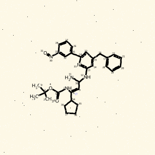 CC(C)(C)OC(=O)N/C(=C\C(N)Nc1cc(Cc2ccccc2)cc(-c2cccc(N=O)c2)n1)C1CCCC1